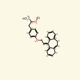 CCOC(Cc1ccc(OCC=C2C3=CC=CCC3=CCc3ccccc32)cc1)C(=O)O